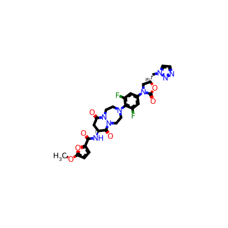 COc1ccc(C(=O)N[C@H]2CC(=O)N3CCN(c4c(F)cc(N5C[C@H](Cn6ccnn6)OC5=O)cc4F)CCN3C2=O)o1